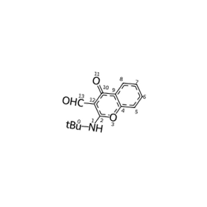 CC(C)(C)Nc1oc2ccccc2c(=O)c1C=O